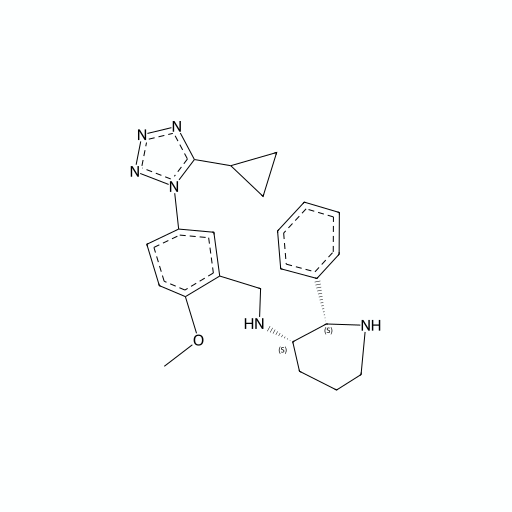 COc1ccc(-n2nnnc2C2CC2)cc1CN[C@H]1CCCN[C@H]1c1ccccc1